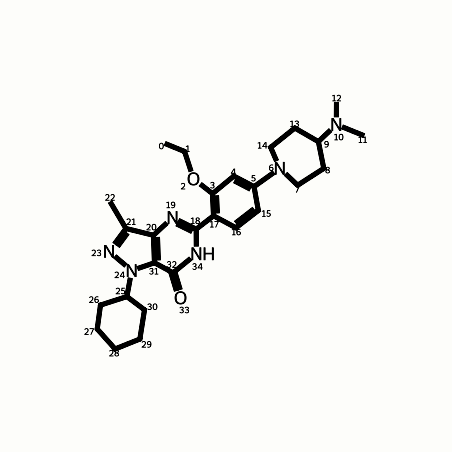 CCOc1cc(N2CCC(N(C)C)CC2)ccc1-c1nc2c(C)nn(C3CCCCC3)c2c(=O)[nH]1